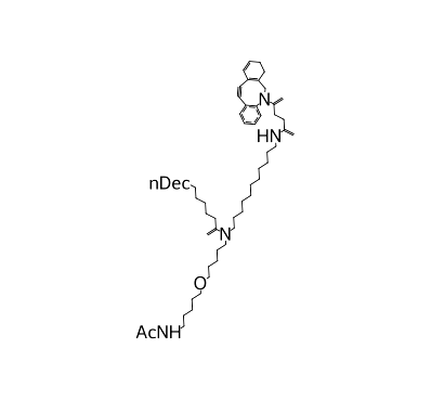 C=C(CCC(=C)N1CC2=C(C#Cc3ccccc31)C=CCC2)NCCCCCCCCCCCN(CCCCCOCCCCCNC(C)=O)C(=C)CCCCCCCCCCCCCCC